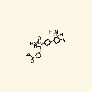 C=Cc1ccc(-c2ccc(-n3c(C[C@@H]4CCN(C(=O)C5CC5)C4)n[nH]c3=O)cc2)cc1NN